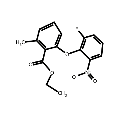 CCOC(=O)c1c(C)cccc1Oc1c(F)cccc1[N+](=O)[O-]